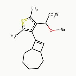 CCOC(=O)C(OC(C)(C)C)c1c(C)sc(C)c1C1=CC2CCCCCC12